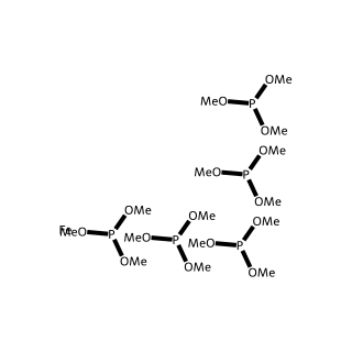 COP(OC)OC.COP(OC)OC.COP(OC)OC.COP(OC)OC.COP(OC)OC.[Fe]